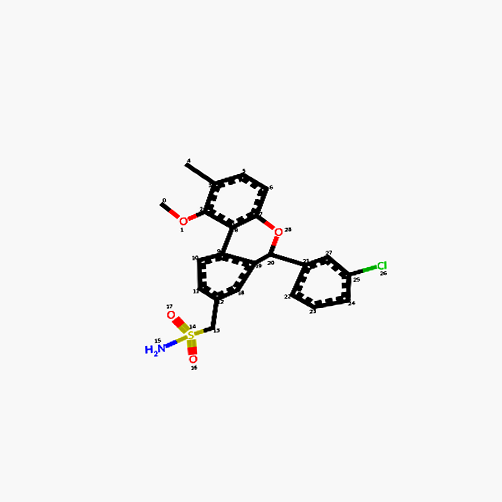 COc1c(C)ccc2c1-c1ccc(CS(N)(=O)=O)cc1C(c1cccc(Cl)c1)O2